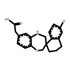 O=C(O)Cc1ccc2c(c1)NCC1(CCCc3cc(Cl)ccc31)CO2